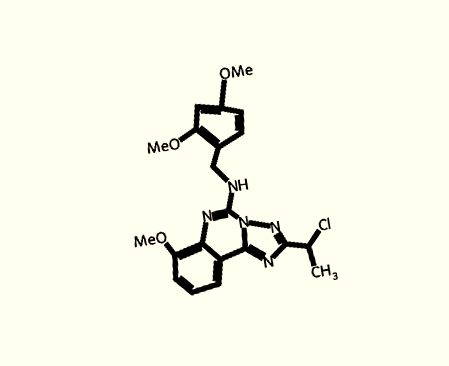 COc1ccc(CNc2nc3c(OC)cccc3c3nc(C(C)Cl)nn23)c(OC)c1